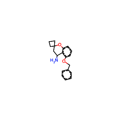 NC1CC2(CCC2)Oc2cccc(OCc3ccccc3)c21